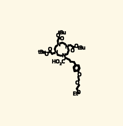 CCOCCOCCOc1ccc(CCC[C@@H](C(=O)O)N2CCN(CC(=O)OC(C)(C)C)CCN(CC(=O)OC(C)(C)C)CCN(CC(=O)OC(C)(C)C)CC2)cc1